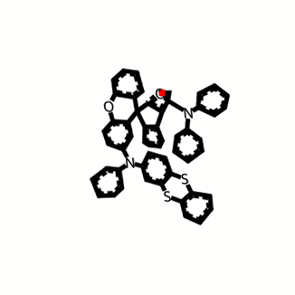 c1ccc(N(c2ccc3c(c2)Sc2ccccc2S3)c2ccc3c(c2)C2(c4ccccc4O3)c3ccccc3-c3c(N(c4ccccc4)c4ccccc4)cccc32)cc1